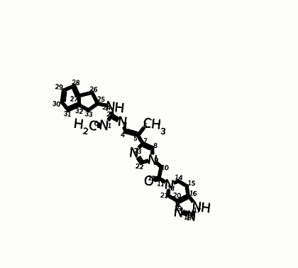 C=N/C(=N\C=C(/C)c1cn(CC(=O)N2CCc3[nH]nnc3C2)cn1)NC1Cc2ccccc2C1